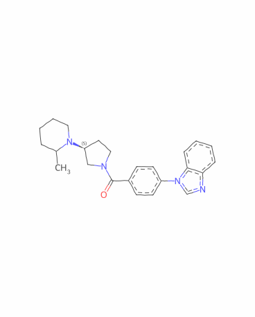 CC1CCCCN1[C@H]1CCN(C(=O)c2ccc(-n3cnc4ccccc43)cc2)C1